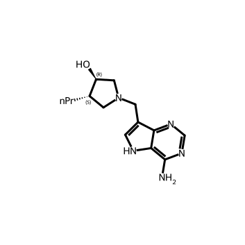 CCC[C@H]1CN(Cc2c[nH]c3c(N)ncnc23)C[C@@H]1O